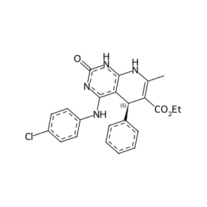 CCOC(=O)C1=C(C)Nc2[nH]c(=O)nc(Nc3ccc(Cl)cc3)c2[C@@H]1c1ccccc1